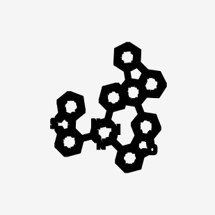 c1ccc(-c2nc(-c3cccc4oc5ccc(-c6ccc7c8c(cccc68)-c6ccccc6-7)cc5c34)nc(-c3cccc4sc5ccccc5c34)n2)cc1